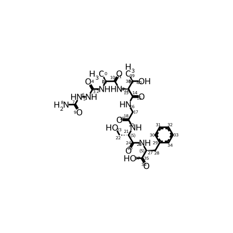 C[C@H](NC(=O)NNC(N)=O)C(=O)N[C@H](C(=O)NCC(=O)N[C@@H](CO)C(=O)N[C@@H](Cc1ccccc1)C(=O)O)[C@@H](C)O